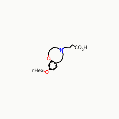 CCCCCCOc1ccc2c(c1)OCCCCN(CCCC(=O)O)CCC2